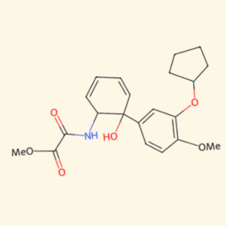 COC(=O)C(=O)NC1C=CC=CC1(O)c1ccc(OC)c(OC2CCCC2)c1